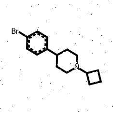 Brc1ccc(C2CCN(C3CCC3)CC2)cc1